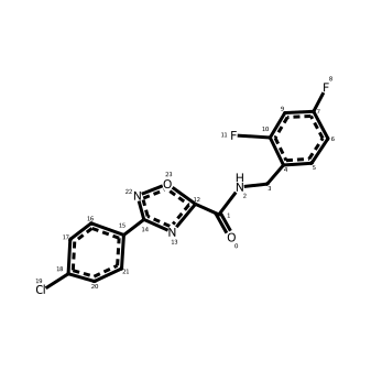 O=C(NCc1ccc(F)cc1F)c1nc(-c2ccc(Cl)cc2)no1